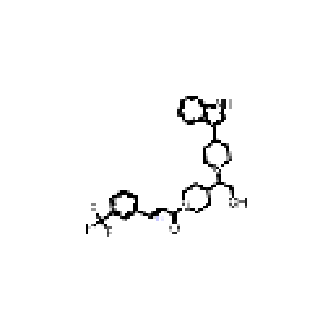 O=C(/C=C/c1cccc(C(F)(F)F)c1)N1CCC(C(CO)N2CCC(c3c[nH]c4ccccc34)CC2)CC1